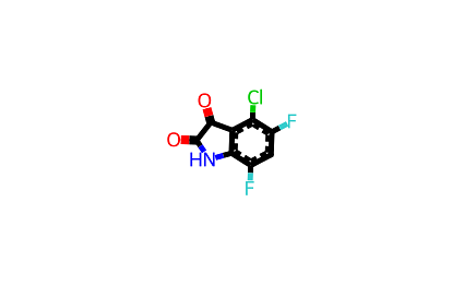 O=C1Nc2c(F)cc(F)c(Cl)c2C1=O